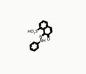 O=C1C=Cc2cccc(S(=O)(=O)O)c2/C1=N/Nc1ccccc1